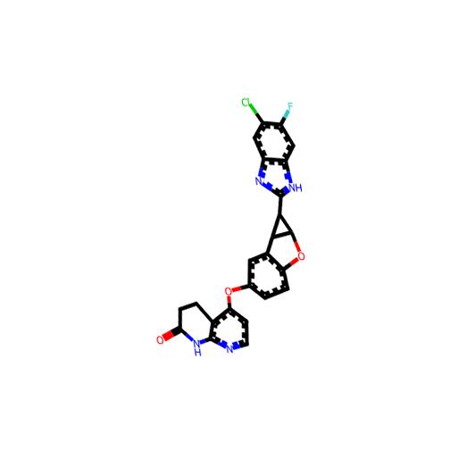 O=C1CCc2c(Oc3ccc4c(c3)C3C(O4)C3c3nc4cc(Cl)c(F)cc4[nH]3)ccnc2N1